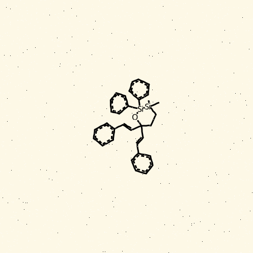 C[Si]1(C)CCC(C=Cc2ccccc2)(C=Cc2ccccc2)O[Si]1(c1ccccc1)c1ccccc1